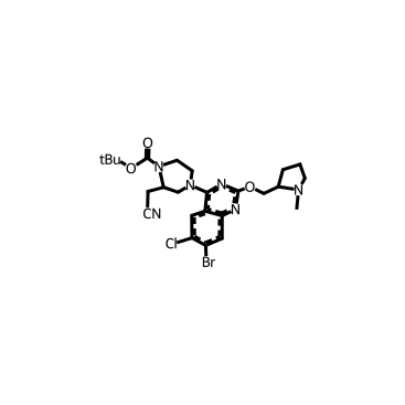 CN1CCCC1COc1nc(N2CCN(C(=O)OC(C)(C)C)C(CC#N)C2)c2cc(Cl)c(Br)cc2n1